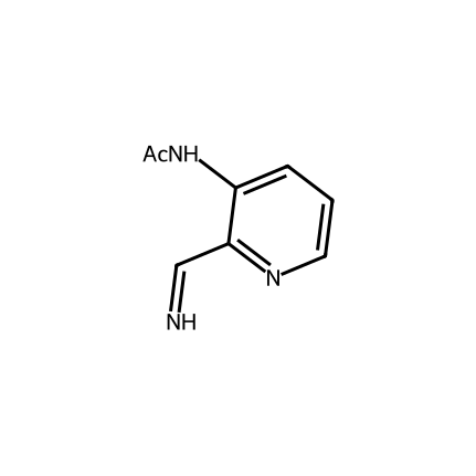 CC(=O)Nc1cccnc1C=N